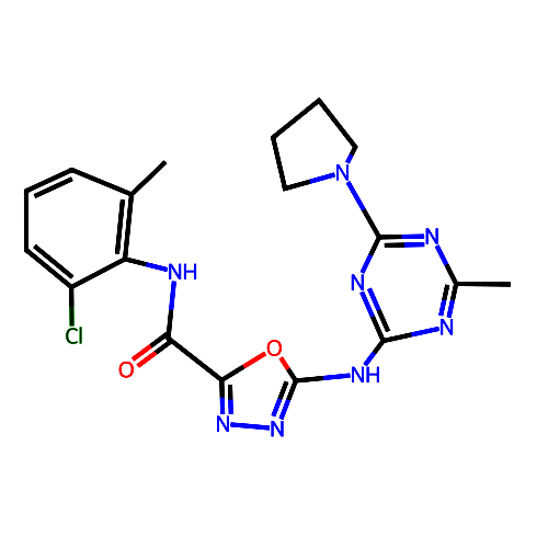 Cc1nc(Nc2nnc(C(=O)Nc3c(C)cccc3Cl)o2)nc(N2CCCC2)n1